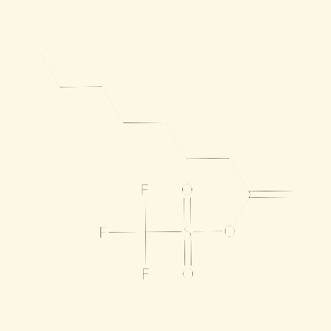 C=C(CCCCCCC)OS(=O)(=O)C(F)(F)F